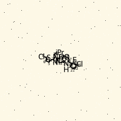 CC(C)Cn1c(-c2ccc(Cl)s2)nn(CC(=O)NC(CO)c2cccc(Cl)c2F)c1=O